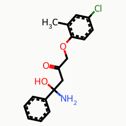 Cc1cc(Cl)ccc1OCC(=O)CC(N)(O)c1ccccc1